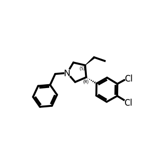 CC[C@@H]1CN(Cc2ccccc2)C[C@H]1c1ccc(Cl)c(Cl)c1